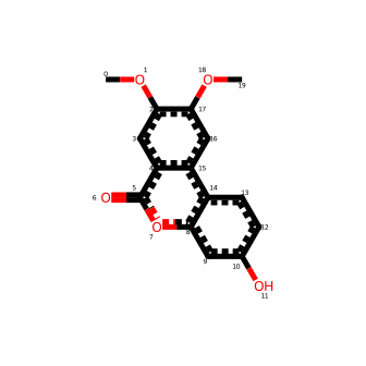 COc1cc2c(=O)oc3cc(O)ccc3c2cc1OC